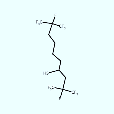 FC(F)(F)C(F)(CCCCC(S)CC(F)(C(F)(F)F)C(F)(F)F)C(F)(F)F